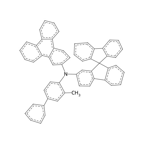 Cc1cc(-c2ccccc2)ccc1N(c1ccc2c(c1)C1(c3ccccc3-c3ccccc31)c1ccccc1-2)c1ccc2c3ccccc3c3ccccc3c2c1